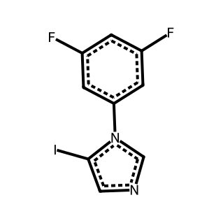 Fc1cc(F)cc(-n2cncc2I)c1